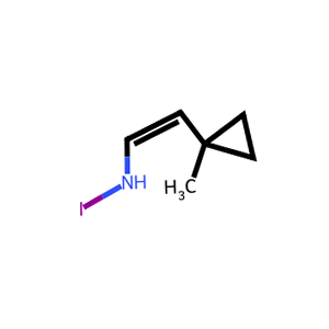 CC1(/C=C\NI)CC1